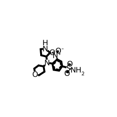 NS(=O)(=O)c1ccc(N(C2CCOCC2)C2CCNC2)c([N+](=O)[O-])c1